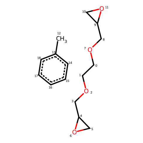 C(COCC1CO1)OCC1CO1.Cc1ccccc1